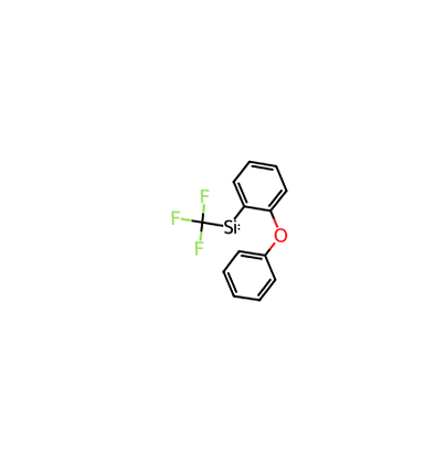 FC(F)(F)[Si]c1ccccc1Oc1ccccc1